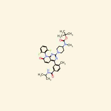 Cc1ccc(C(=O)NC(C)C)cc1-c1nc(N2CCC(N(C)C(=O)OC(C)(C)C)CC2)nc2c1ccc(=O)n2-c1c(F)cccc1F